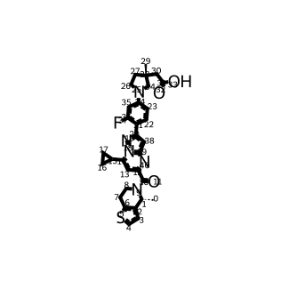 C[C@@H]1c2ccsc2CCN1C(=O)c1cc(C2CC2)n2nc(-c3ccc(N4CC[C@](C)(CC(=O)O)C4)cc3F)cc2n1